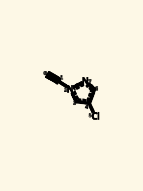 C#Cn1cc(Cl)cn1